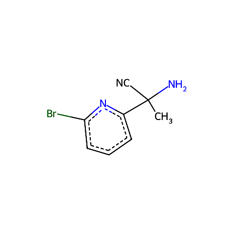 CC(N)(C#N)c1cccc(Br)n1